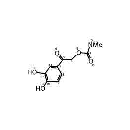 CNC(=O)OCC(=O)c1ccc(O)c(O)c1